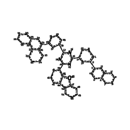 c1cc(-c2ccc3ccccc3c2)cc(-c2nc(-c3cccc(-c4cc5ccccc5c5ccccc45)c3)nc(-c3cccc4c3oc3ccccc34)n2)c1